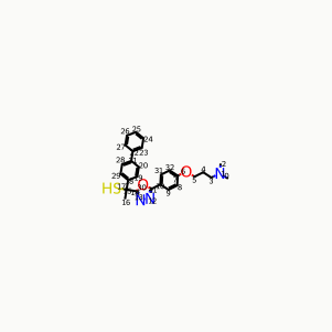 CN(C)CCCOc1ccc(-c2nnc(C(C)(S)c3ccc(-c4ccccc4)cc3)o2)cc1